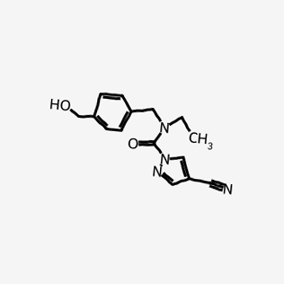 CCN(Cc1ccc(CO)cc1)C(=O)n1cc(C#N)cn1